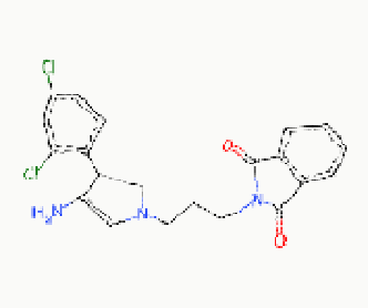 NC1=CN(CCCN2C(=O)c3ccccc3C2=O)CC1c1ccc(Cl)cc1Cl